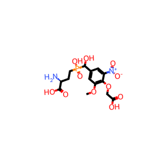 COc1cc(C(O)P(=O)(O)CC[C@H](N)C(=O)O)cc([N+](=O)[O-])c1OCC(=O)O